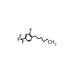 CCCCCCc1ccc(C(F)(F)F)cc1F